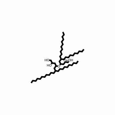 CCCCCCCCCCCC(CCCCCCCCCC)CC(CC(O)CO)OC(CC(O)CO)CC(CCCCCCCCCC)CCCCCCCCCCC